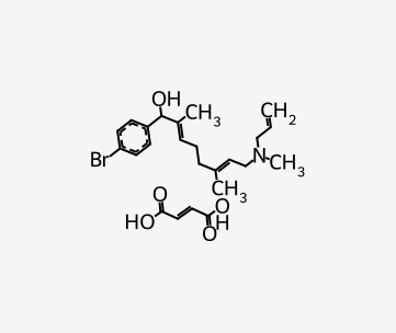 C=CCN(C)CC=C(C)CCC=C(C)C(O)c1ccc(Br)cc1.O=C(O)C=CC(=O)O